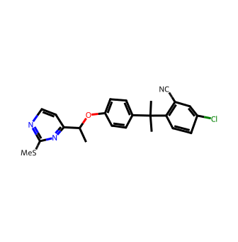 CSc1nccc(C(C)Oc2ccc(C(C)(C)c3ccc(Cl)cc3C#N)cc2)n1